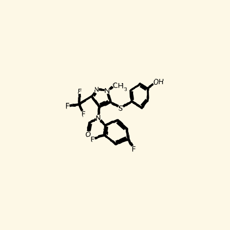 Cn1nc(C(F)(F)F)c(N(C=O)c2ccc(F)cc2F)c1Sc1ccc(O)cc1